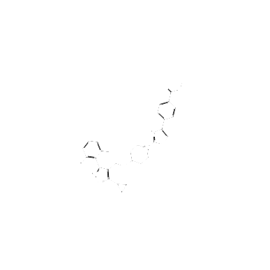 COC(=O)c1ccc(-c2csc(N3CCC(OCc4c(-c5c(Cl)cccc5Cl)noc4C4CC4)CC3)n2)cc1